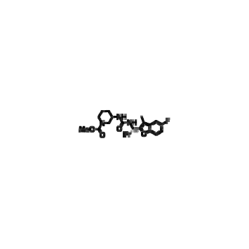 COC(=O)N1CCCC(NC(=O)N[C@H](c2oc3ccc(F)cc3c2C)C(C)C)C1